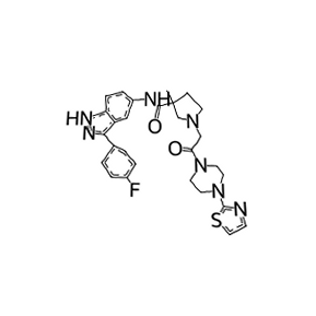 CC1(C(=O)Nc2ccc3[nH]nc(-c4ccc(F)cc4)c3c2)CCN(CC(=O)N2CCN(c3nccs3)CC2)C1